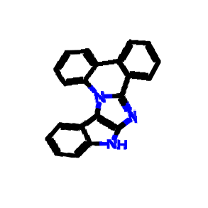 c1ccc2c(c1)[nH]c1nc3c4ccccc4c4ccccc4n3c12